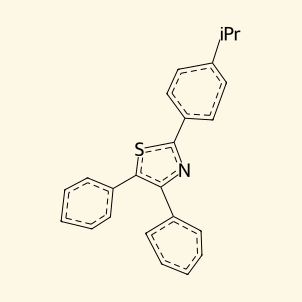 CC(C)c1ccc(-c2nc(-c3ccccc3)c(-c3ccccc3)s2)cc1